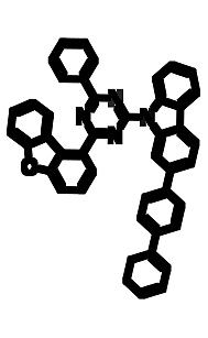 C1=CCCC(c2ccc(-c3ccc4c5ccccc5n(-c5nc(-c6ccccc6)nc(-c6cccc7oc8ccccc8c67)n5)c4c3)cc2)=C1